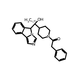 C[C@](O)(C1CCN(C(=O)Cc2ccccc2)CC1)C1c2ccccc2-c2cncn21